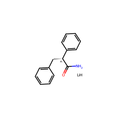 NC(=O)[C@H](Cc1ccccc1)c1ccccc1.[LiH]